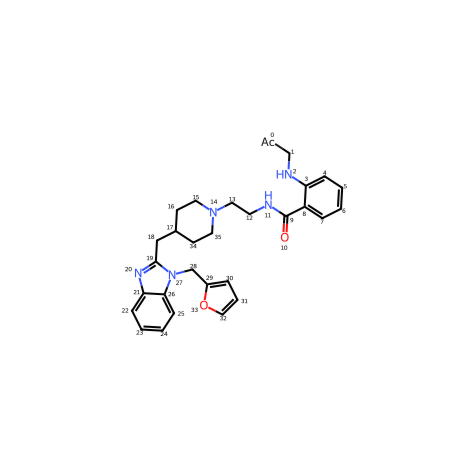 CC(=O)CNc1ccccc1C(=O)NCCN1CCC(Cc2nc3ccccc3n2Cc2ccco2)CC1